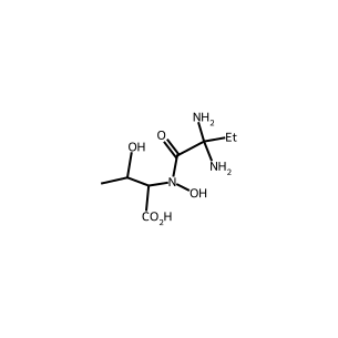 CCC(N)(N)C(=O)N(O)C(C(=O)O)C(C)O